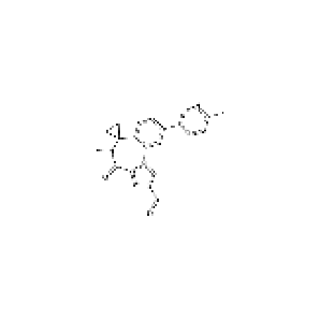 Cc1ccc(-c2ccc3c(c2)-n2cc(C=O)cc2C(=O)N(C)C32CC2)cn1